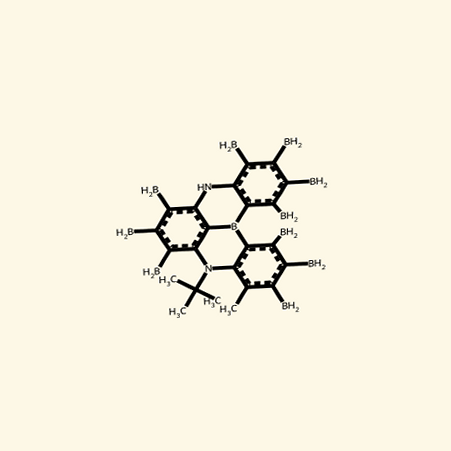 Bc1c(B)c(B)c2c(c1B)Nc1c(B)c(B)c(B)c3c1B2c1c(B)c(B)c(B)c(C)c1N3C(C)(C)C